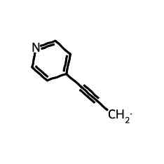 [CH2]C#Cc1ccncc1